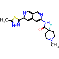 Cc1nnc(-c2cc3cc(NC(=O)C4(F)CCN(C)CC4)ncc3cn2)s1